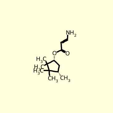 C[C@H]1C[C@@H](OC(=O)/C=C/N)C(C)(C)C1(C)C